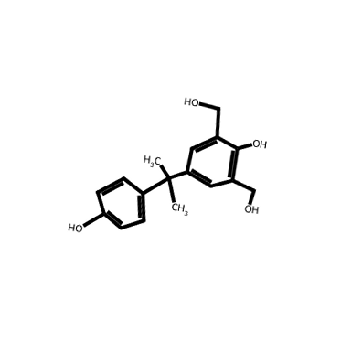 CC(C)(c1ccc(O)cc1)c1cc(CO)c(O)c(CO)c1